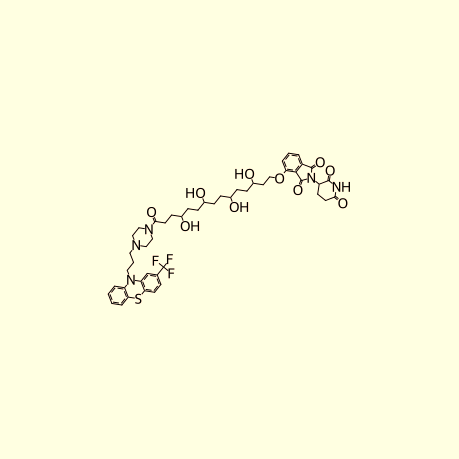 O=C1CCC(N2C(=O)c3cccc(OCCC(O)CCC(O)CCC(O)CCC(O)CCC(=O)N4CCN(CCCN5c6ccccc6Sc6ccc(C(F)(F)F)cc65)CC4)c3C2=O)C(=O)N1